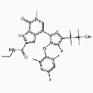 CCNC(=O)c1cc2c(-c3sc(C(C)(C)C(C)(C)O)c(F)c3Oc3c(C)cc(F)cc3C)cn(C)c(=O)c2[nH]1